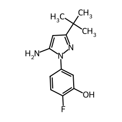 CC(C)(C)c1cc(N)n(-c2ccc(F)c(O)c2)n1